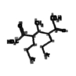 CC(C)CCC(C(=O)C(=O)O)C(C)C(CCC(C)C)C(=O)C(=O)O